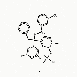 Cc1cc(F)cc([C@](Cc2ccccc2)(NC(=O)c2cccc(C(F)(F)F)c2)c2ccc(F)c(OC(C)(C)C#N)c2)c1